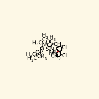 CC(C)C1=C(C(=O)N(C(C)C)C2CN(C(=O)OC(C)(C)C)C2)SC2=N[C@@](C)(c3ccc(Cl)cc3)[C@@H](c3ccc(Cl)cc3)N21